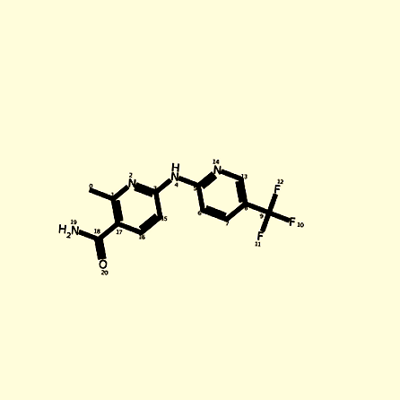 Cc1nc(Nc2ccc(C(F)(F)F)cn2)ccc1C(N)=O